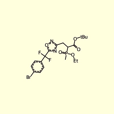 CCOP(C)(=O)C(Cc1noc(C(F)(F)c2ccc(Br)cc2)n1)C(=O)OC(C)(C)C